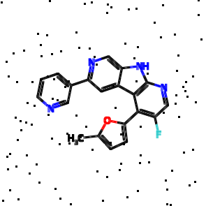 Cc1ccc(-c2c(F)cnc3[nH]c4cnc(-c5cccnc5)cc4c23)o1